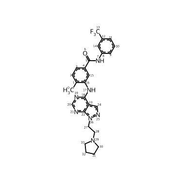 Cc1ccc(C(=O)Nc2cccc(C(F)(F)F)c2)cc1Nc1ncnc2c1cnn2CCN1CCCC1